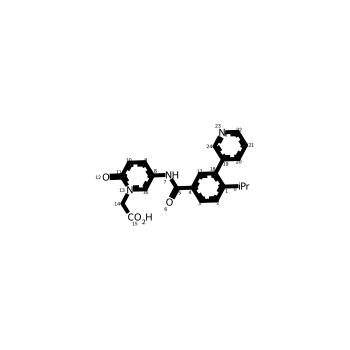 CC(C)c1ccc(C(=O)Nc2ccc(=O)n(CC(=O)O)c2)cc1-c1cccnc1